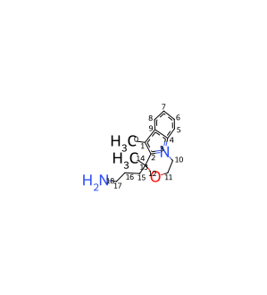 Cc1c2n(c3ccccc13)CCOC2(C)CCCN